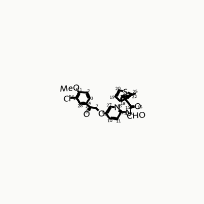 COc1ccc(C(=O)COc2ccc(N(C=O)C(=O)C3C4C=CS5(CC45)C3C)nc2)cc1Cl